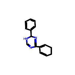 C1=CC(C2=NC(c3ccccc3)NC=N2)=CCC1